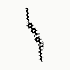 CCCCCCCCOc1ccc(-c2ccc(C(=O)Oc3ccc(C(=O)OC(CCCCCCCC)C(F)F)cc3)cc2)cc1